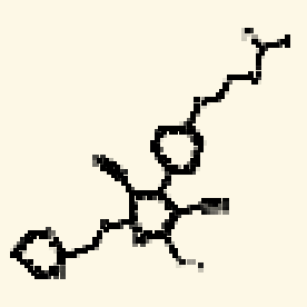 N#Cc1c(N)nc(SCc2ncccn2)c(C#N)c1-c1ccc(OCCOC(F)F)cc1